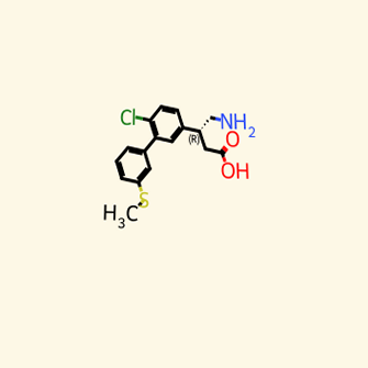 CSc1cccc(-c2cc([C@H](CN)CC(=O)O)ccc2Cl)c1